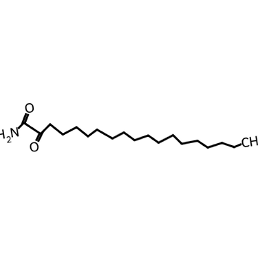 CCCCCCCCCCCCCCCCCC(=O)C(N)=O